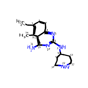 Cc1ccc2nc(NC3CCNCC3)nc(N)c2c1C